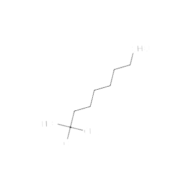 CC(C)(O)CCCCCCC=O